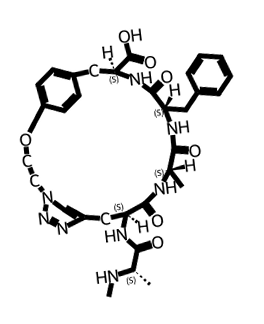 CN[C@@H](C)C(=O)N[C@H]1Cc2cn(nn2)CCOc2ccc(cc2)C[C@@H](C(=O)O)NC(=O)[C@H](Cc2ccccc2)NC(=O)[C@H](C)NC1=O